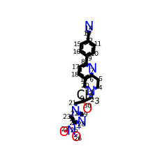 CC1(CN2CCc3nc(-c4ccc(C#N)cc4)ccc3C2)Cn2cc([N+](=O)[O-])nc2O1